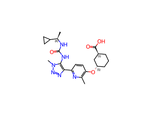 Cc1nc(-c2nnn(C)c2NC(=O)N[C@H](C)C2CC2)ccc1O[C@H]1CCC[C@H](C(=O)O)C1